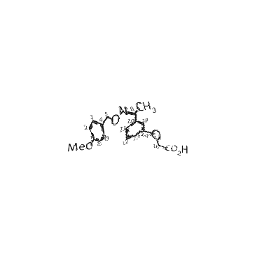 COc1ccc(CON=C(C)c2cccc(OCC(=O)O)c2)cc1